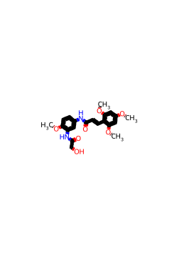 COc1cc(OC)c(C=CC(=O)Nc2ccc(OC)c(NC(=O)CO)c2)c(OC)c1